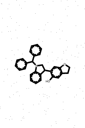 Oc1cc2c(cc1C1CN(C(c3ccccc3)c3ccccc3)c3ccccc31)OCC2